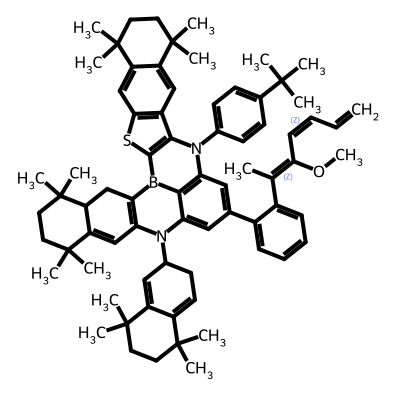 C=C/C=C\C(OC)=C(/C)c1ccccc1-c1cc2c3c(c1)N(C1C=C4C(=CC1)C(C)(C)CCC4(C)C)C1=C(CC4C(=C1)C(C)(C)CCC4(C)C)B3c1sc3cc4c(cc3c1N2c1ccc(C(C)(C)C)cc1)C(C)(C)CCC4(C)C